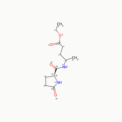 CCOC(=O)CCC(C)NC(=O)[C@@H]1CCC(=O)N1